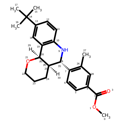 COC(=O)c1ccc([C@H]2Nc3ccc(C(C)(C)C)cc3[C@@H]3OCCC[C@H]23)c(C)c1